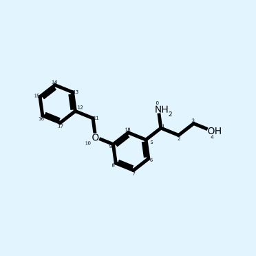 NC(CCO)c1cccc(OCc2ccccc2)c1